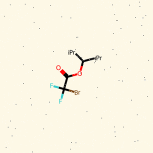 CC(C)C(OC(=O)C(F)(F)Br)C(C)C